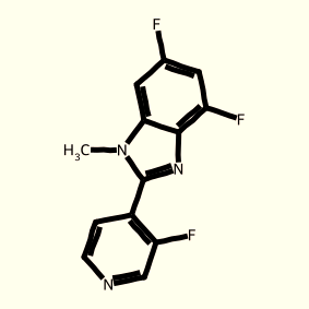 Cn1c(-c2ccncc2F)nc2c(F)cc(F)cc21